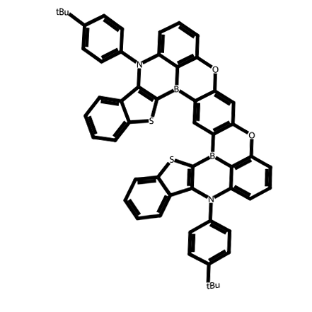 CC(C)(C)c1ccc(N2c3cccc4c3B(c3cc5c(cc3O4)Oc3cccc4c3B5c3sc5ccccc5c3N4c3ccc(C(C)(C)C)cc3)c3sc4ccccc4c32)cc1